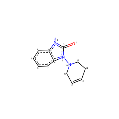 O=c1[nH]c2ccccc2n1N1CC=CCC1